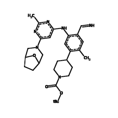 Cc1nc(Nc2cc(C3CCN(C(=O)OC(C)(C)C)CC3)c(C)cc2C=N)cc(N2CC3CCC(C2)O3)n1